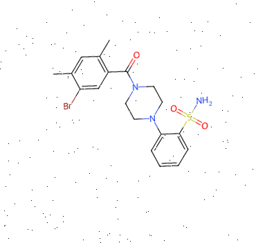 Cc1cc(C)c(C(=O)N2CCN(c3ccccc3S(N)(=O)=O)CC2)cc1Br